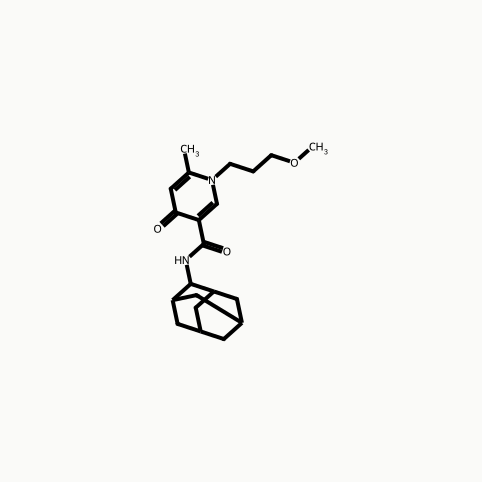 COCCCn1cc(C(=O)NC2C3CC4CC(C3)CC2C4)c(=O)cc1C